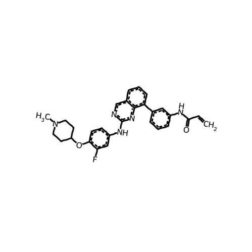 C=CC(=O)Nc1cccc(-c2cccc3cnc(Nc4ccc(OC5CCN(C)CC5)c(F)c4)nc23)c1